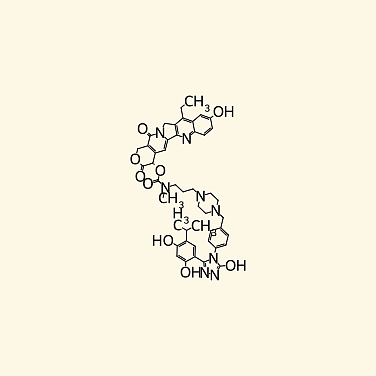 CCc1c2c(nc3ccc(O)cc13)-c1cc3c(c(=O)n1C2)COC(=O)[C@H]3OC(=O)N(C)CCCN1CCN(Cc2ccc(-n3c(O)nnc3-c3cc(C(C)C)c(O)cc3O)cc2)CC1